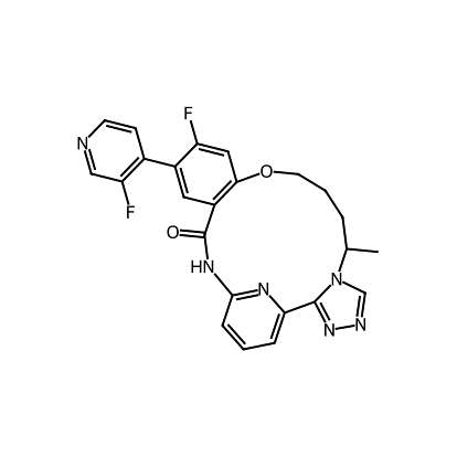 CC1CCCOc2cc(F)c(-c3ccncc3F)cc2C(=O)Nc2cccc(n2)-c2nncn21